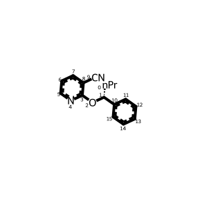 CCC[C@@H](Oc1ncccc1C#N)c1ccccc1